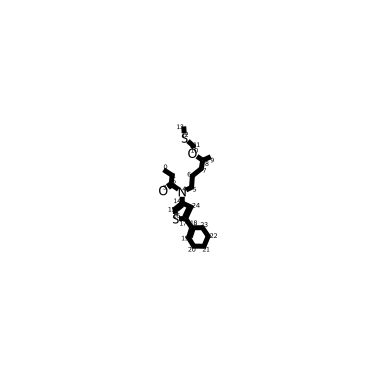 CCC(=O)N(CCCC(C)OCSC)c1csc(C2=CCCCC2)c1